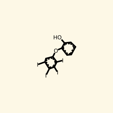 Oc1ccccc1Oc1cc(I)c(I)c(I)c1I